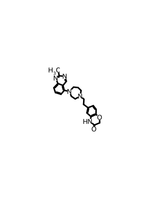 Cc1ncc2c(N3CCCN(CCc4ccc5c(c4)NC(=O)CO5)CC3)cccc2n1